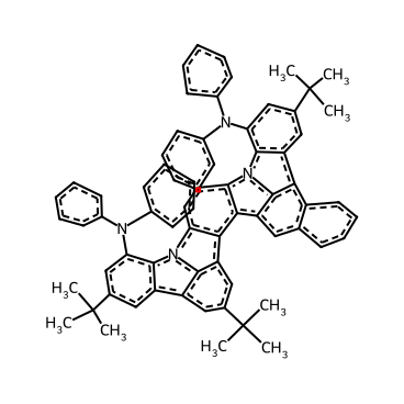 CC(C)(C)c1cc(N(c2ccccc2)c2ccccc2)c2c(c1)c1cc(C(C)(C)C)cc3c4c5c6cc7ccccc7c7c8cc(C(C)(C)C)cc(N(c9ccccc9)c9ccccc9)c8n(c5ccc4n2c13)c67